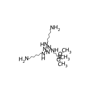 CCO[Si](C)(CCCNc1nc(NCCCCCCN)nc(NCCCCCCN)n1)OCC